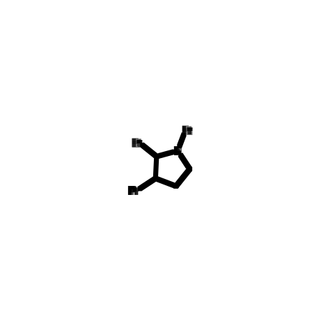 CCC1C(C(C)C)CCN1CC